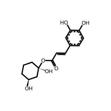 O=C(C=Cc1ccc(O)c(O)c1)O[C@]1(O)CCC[C@H](O)C1